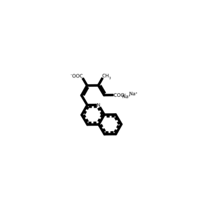 CC(=CC(=O)[O-])C(=Cc1ccc2ccccc2n1)C(=O)[O-].[Na+].[Na+]